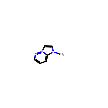 Cn1cc[n+]2ncccc12